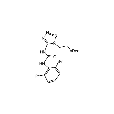 CCCCCCCCCCCCn1nnnc1NC(=O)Nc1c(C(C)C)cccc1C(C)C